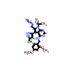 COc1ccc(CNc2ncnc3c2c(-c2cc(C)n[nH]2)c(CN=[N+]=[N-])n3C(C)C)c(OC)c1